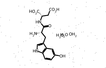 N[C@@H](Cc1c[nH]c2ccc(O)cc12)C(=O)N[C@@H](CC(=O)O)C(=O)O.O.O.O